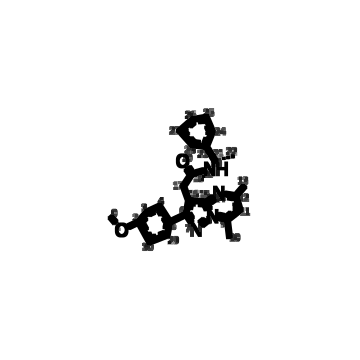 COc1ccc(-c2nn3c(C)cc(C)nc3c2CC(=O)N[C@@H](C)c2ccccc2)cc1